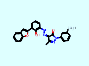 CC1=NN(c2cccc(C(=O)O)c2)C(=O)/C1=N\Nc1cccc(-c2cc3ccccc3o2)c1O